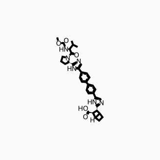 COC(=O)N[C@H](C(=O)N1CCC[C@H]1c1ncc(-c2ccc(-c3ccc(-c4cnc([C@@H]5C6CC[C@H]6[C@H]5C(=O)O)[nH]4)cc3)cc2)[nH]1)C(C)C